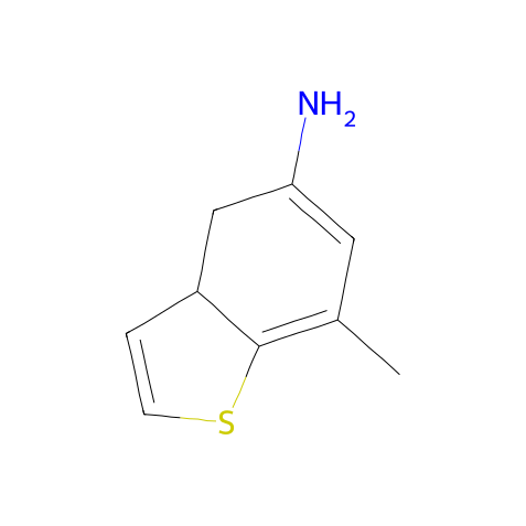 CC1=C2SC=CC2CC(N)=C1